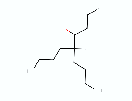 CCCCC(C)(CCCC)C([O])CCC